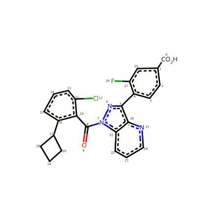 O=C(O)c1ccc(-c2nn(C(=O)c3c(Cl)cccc3C3CCC3)c3cccnc23)c(F)c1